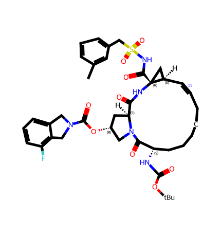 Cc1cccc(CS(=O)(=O)NC(=O)[C@@]23C[C@H]2/C=C\CCCCC[C@H](NC(=O)OC(C)(C)C)C(=O)N2C[C@H](OC(=O)N4Cc5cccc(F)c5C4)C[C@H]2C(=O)N3)c1